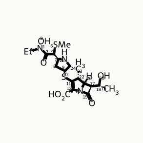 CCN(O)C(=O)C(SC)[C@@H]1C[C@H](SC2=C(C(=O)O)N3C(=O)[C@H]([C@@H](C)O)[C@H]3[C@H]2C)CN1